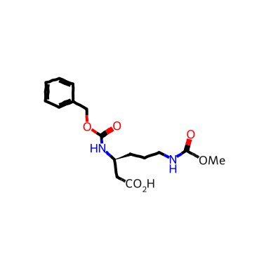 COC(=O)NCCC[C@@H](CC(=O)O)NC(=O)OCc1ccccc1